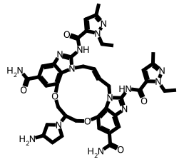 CCn1nc(C)cc1C(=O)Nc1nc2cc(C(N)=O)cc3c2n1C/C=C/Cn1c(NC(=O)c2cc(C)nn2CC)nc2cc(C(N)=O)cc(c21)OCC(N1CCC(N)C1)CO3